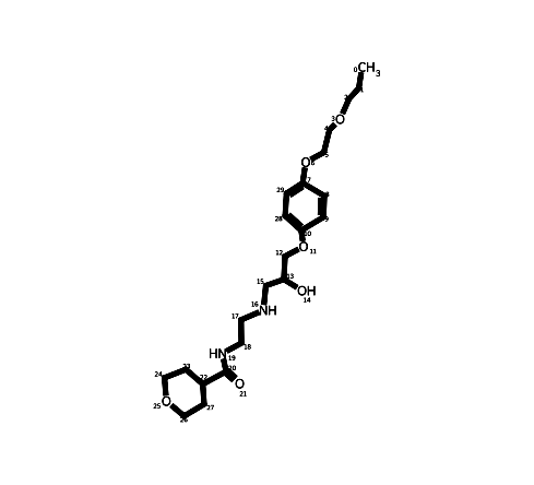 CCCOCCOc1ccc(OCC(O)CNCCNC(=O)C2CCOCC2)cc1